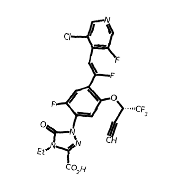 C#C[C@H](Oc1cc(-n2nc(C(=O)O)n(CC)c2=O)c(F)cc1/C(F)=C/c1c(F)cncc1Cl)C(F)(F)F